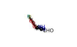 CN(C=O)c1ccc2c(c1)[nH]c1cc(OCCOCCOCCSF)ccc12